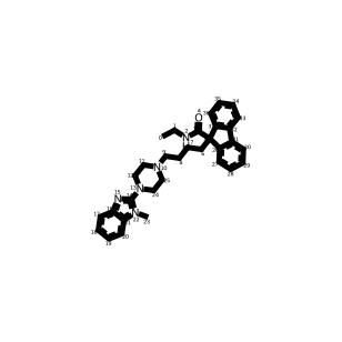 CCNC(=O)C1(CCCCN2CCN(c3nc4ccccc4n3C)CC2)c2ccccc2-c2ccccc21